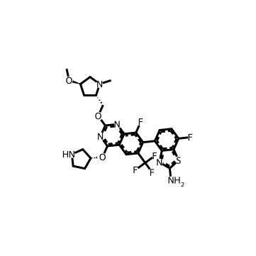 CO[C@@H]1C[C@@H](COc2nc(O[C@@H]3CCNC3)c3cc(C(F)(F)F)c(-c4ccc(F)c5sc(N)nc45)c(F)c3n2)N(C)C1